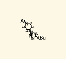 CC(=O)N1CCC(n2cc(C(C)(C)C)nn2)CC1